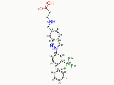 O=C(O)CCNCc1ccc2cn(-c3ccc(-c4ccccc4)c(C(F)(F)F)c3)nc2c1